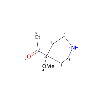 CCC(=O)C1(OC)CCNCC1